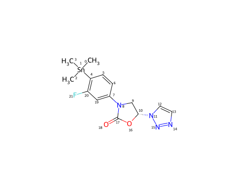 [CH3][Sn]([CH3])([CH3])[c]1ccc(N2C[C@H](n3ccnn3)OC2=O)cc1F